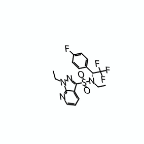 CCN([C@H](c1ccc(F)cc1)C(F)(F)F)S(=O)(=O)c1nn(CC)c2ncccc12